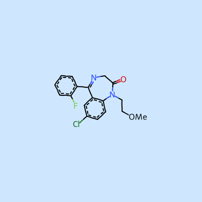 COCCN1C(=O)CN=C(c2ccccc2F)c2cc(Cl)ccc21